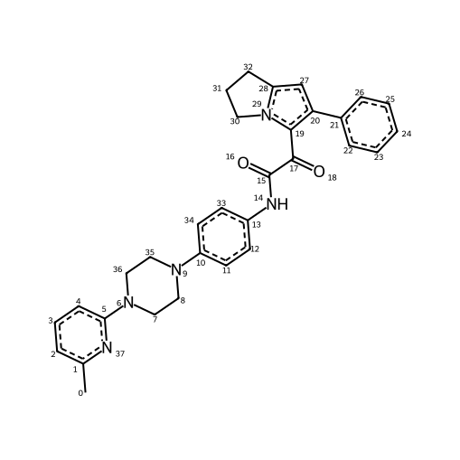 Cc1cccc(N2CCN(c3ccc(NC(=O)C(=O)c4c(-c5ccccc5)cc5n4CCC5)cc3)CC2)n1